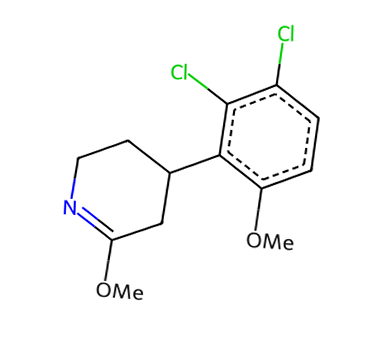 COC1=NCCC(c2c(OC)ccc(Cl)c2Cl)C1